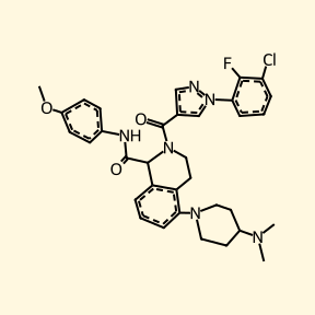 COc1ccc(NC(=O)C2c3cccc(N4CCC(N(C)C)CC4)c3CCN2C(=O)c2cnn(-c3cccc(Cl)c3F)c2)cc1